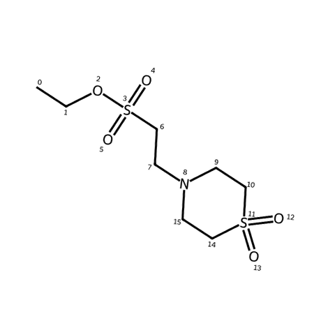 CCOS(=O)(=O)CCN1CCS(=O)(=O)CC1